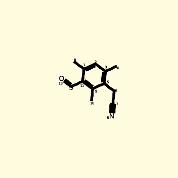 Cc1cc(C)c(CC#N)c(C)c1C=O